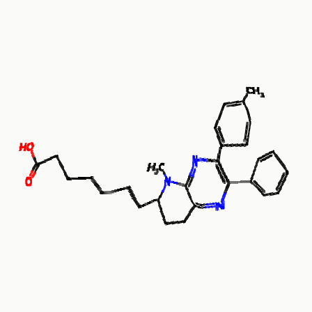 Cc1ccc(-c2nc3c(nc2-c2ccccc2)CCC(CCCCCCC(=O)O)N3C)cc1